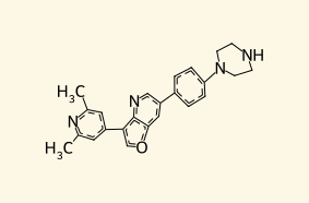 Cc1cc(-c2coc3cc(-c4ccc(N5CCNCC5)cc4)cnc23)cc(C)n1